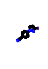 N#Cc1ccc(-n2ccc(I)n2)cc1